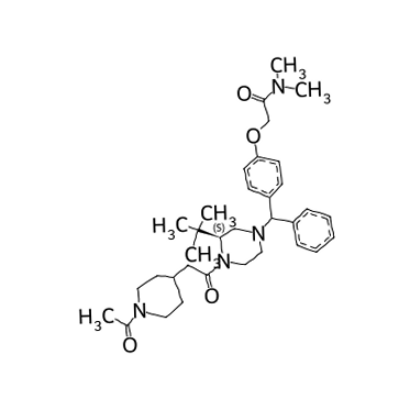 CC(=O)N1CCC(CC(=O)N2CCN(C(c3ccccc3)c3ccc(OCC(=O)N(C)C)cc3)C[C@@H]2C(C)(C)C)CC1